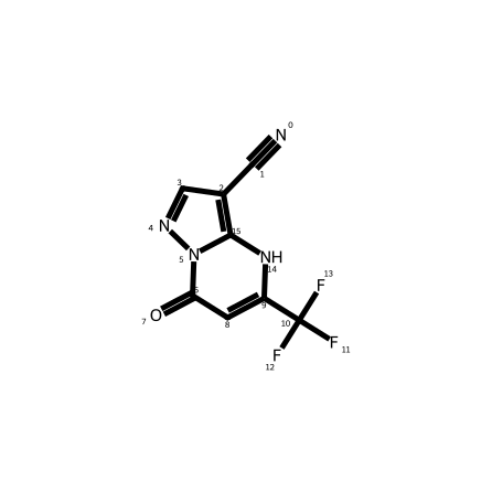 N#Cc1cnn2c(=O)cc(C(F)(F)F)[nH]c12